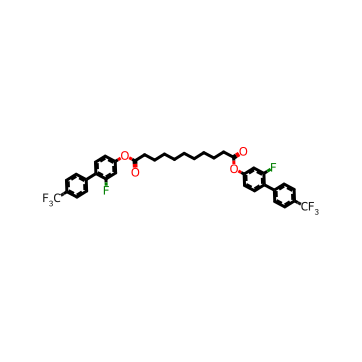 O=C(CCCCCCCCCC(=O)Oc1ccc(-c2ccc(C(F)(F)F)cc2)c(F)c1)Oc1ccc(-c2ccc(C(F)(F)F)cc2)c(F)c1